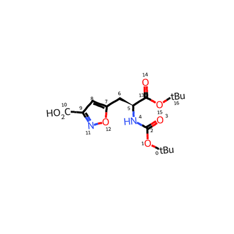 CC(C)(C)OC(=O)N[C@@H](Cc1cc(C(=O)O)no1)C(=O)OC(C)(C)C